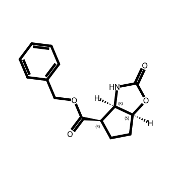 O=C1N[C@H]2[C@H](CC[C@H]2C(=O)OCc2ccccc2)O1